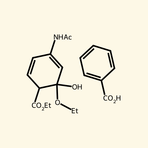 CCOC(=O)C1C=CC(NC(C)=O)=CC1(O)OCC.O=C(O)c1ccccc1